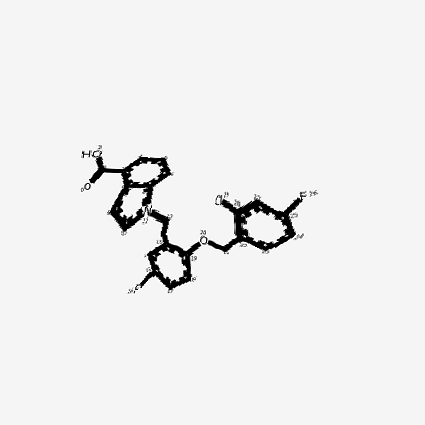 O=C(O)c1cccc2c1ccn2Cc1cc(F)ccc1OCc1ccc(F)cc1Cl